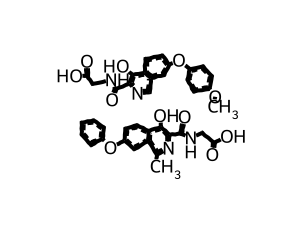 COc1ccc(Oc2ccc3c(O)c(C(=O)NCC(=O)O)ncc3c2)cc1.Cc1nc(C(=O)NCC(=O)O)c(O)c2ccc(Oc3ccccc3)cc12